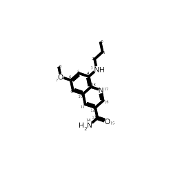 CCCNc1cc(OC)cc2cc(C(N)=O)cnc12